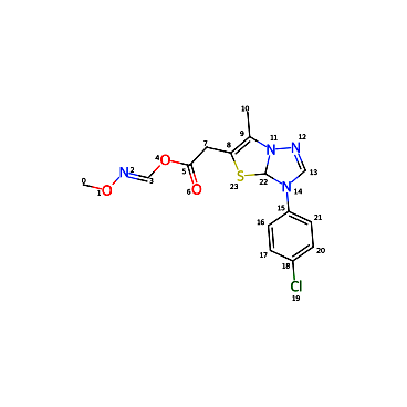 CON=COC(=O)CC1=C(C)N2N=CN(c3ccc(Cl)cc3)C2S1